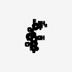 Cc1cc2c(nc(C)n2C)c(Cl)c1-c1cccn2c(C(=O)c3cc(F)c(N)c(F)c3)cc(CO)c12